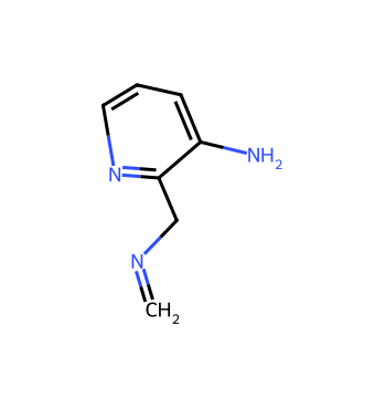 C=NCc1ncccc1N